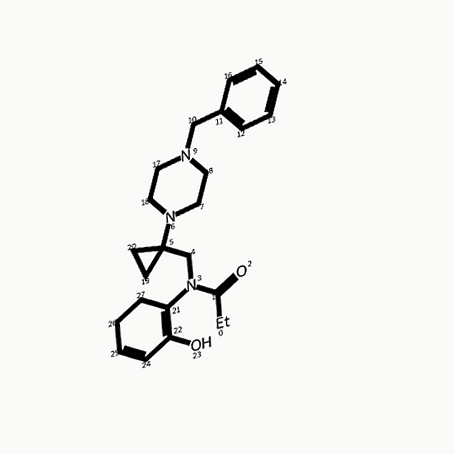 CCC(=O)N(CC1(N2CCN(Cc3ccccc3)CC2)CC1)C1=C(O)C=CCC1